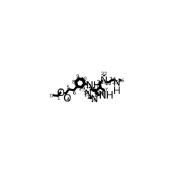 CCOC(=O)CCc1cccc(Nc2ncnc3c2C(CN(C)CCNC)CN3)c1